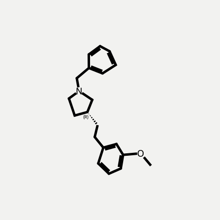 COc1cccc(CC[C@@H]2CCN(Cc3ccccc3)C2)c1